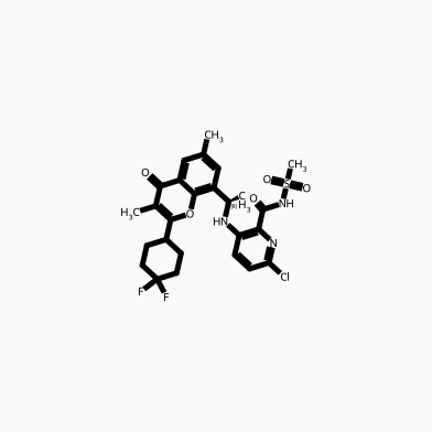 Cc1cc([C@@H](C)Nc2ccc(Cl)nc2C(=O)NS(C)(=O)=O)c2oc(C3CCC(F)(F)CC3)c(C)c(=O)c2c1